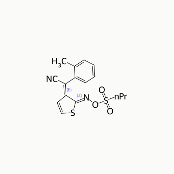 CCCS(=O)(=O)O/N=C1\SC=C\C1=C(/C#N)c1ccccc1C